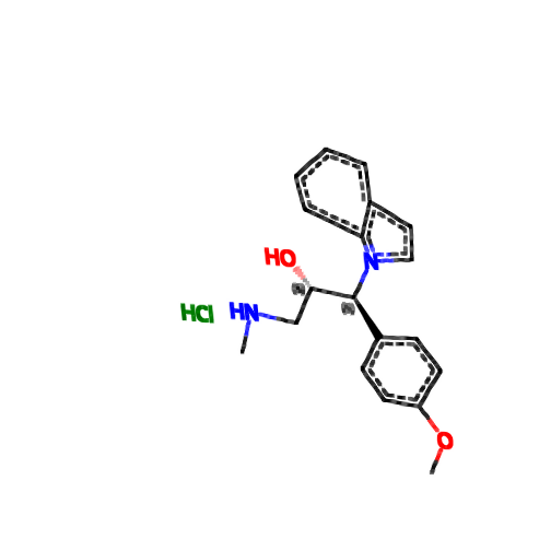 CNC[C@H](O)[C@H](c1ccc(OC)cc1)n1ccc2ccccc21.Cl